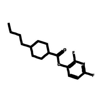 CCCCC1CCC(C(=O)Oc2ccc(F)nc2F)CC1